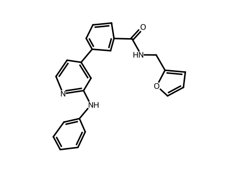 O=C(NCc1ccco1)c1cccc(-c2ccnc(Nc3ccccc3)c2)c1